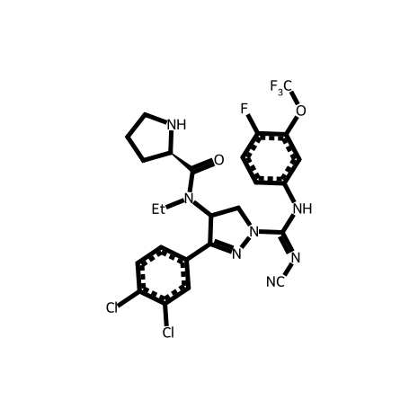 CCN(C(=O)[C@H]1CCCN1)C1CN(/C(=N\C#N)Nc2ccc(F)c(OC(F)(F)F)c2)N=C1c1ccc(Cl)c(Cl)c1